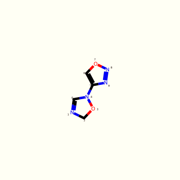 [C]1=NCON1c1conn1